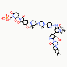 [2H]C([2H])([2H])n1cc(-c2ccnc(N3CCn4c(cc5c4CC(C)(C)C5)C3=O)c2CO)cc(Nc2ccc(N3CCN([C@@H]4CCN5c6cc7c(cc6OC[C@H]5C4)C(=O)N([C@H]4CCC(=O)N(C(C)OP(=O)(O)O)C4=O)C7=O)C[C@@H]3C)cn2)c1=O